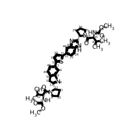 COC(=O)N[C@H](C(=O)N1CCC[C@H]1C1=Nc2cc(-c3ccc(-c4ccc5[nH]c([C@@H]6CCCN6C(=O)[C@@H](NC(=O)OC)C(C)C)nc5c4)s3)ccc2C1)C(C)C